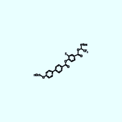 CCCCCCCCOc1ccc(-c2ccc(C(=O)Oc3ccc(C(=O)OC(CCCCCC)C(F)(F)F)cc3F)cc2)cc1